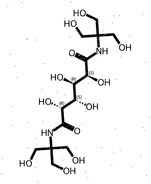 O=C(NC(CO)(CO)CO)[C@@H](O)[C@H](O)[C@H](O)[C@@H](O)C(=O)NC(CO)(CO)CO